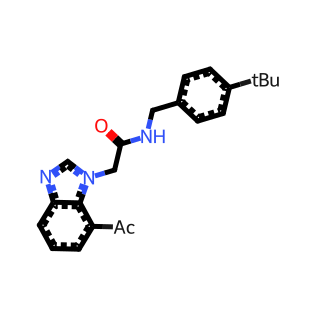 CC(=O)c1cccc2ncn(CC(=O)NCc3ccc(C(C)(C)C)cc3)c12